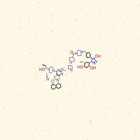 C=CC(O)N1CCN(c2nc(OC[C@@H]3C[C@H](N4CCC(C(=O)N5CCN(Cc6ccc(-n7c(O)nnc7-c7cc(CC)c(O)cc7O)cc6)CC5)CC4)CN3C)nc3c2CCN(c2cccc4cccc(Cl)c24)C3)C[C@@H]1CC#N